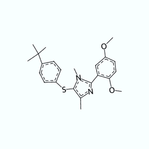 COc1ccc(OC)c(-c2nc(C)c(Sc3ccc(C(C)(C)C)cc3)n2C)c1